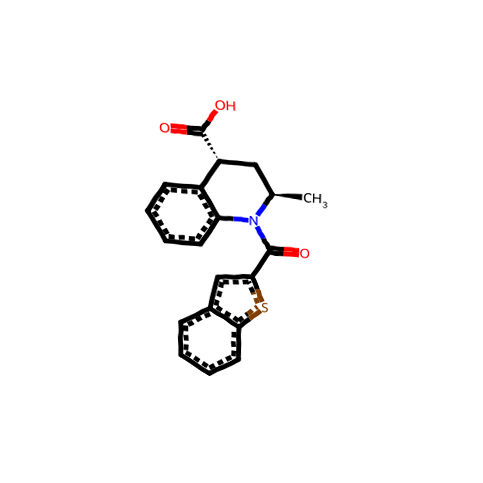 C[C@@H]1C[C@@H](C(=O)O)c2ccccc2N1C(=O)c1cc2ccccc2s1